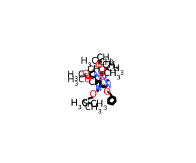 CC(C)(C)OC[C@H]1N(C(=O)OC(C)(C)C)[C@@H](c2cn(COCC[Si](C)(C)C)c3c(OCc4ccccc4)ncnc23)[C@]2(C)OC(C)(C)O[C@]12C